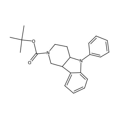 CC(C)(C)OC(=O)N1CCC2C(C1)c1ccccc1N2c1ccccc1